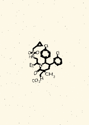 CCC(CNS(=O)(=O)CC1CC1)N1C(=O)C(C)(CC(=O)O)CC(c2cccc(Cl)c2)C1c1ccc(Cl)cc1